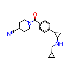 N#CC1CCN(C(=O)c2ccc(C3CC3NCC3CC3)cc2)CC1